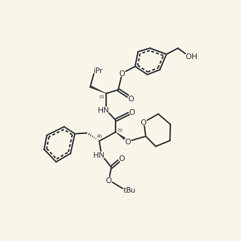 CC(C)C[C@H](NC(=O)[C@@H](OC1CCCCO1)[C@@H](Cc1ccccc1)NC(=O)OC(C)(C)C)C(=O)Oc1ccc(CO)cc1